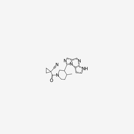 CC1CCN(C(=O)C2(C#N)CC2)CC1c1ncc2cnc3[nH]ccc3n12